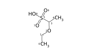 C[CH]OC(C)S(=O)(=O)O